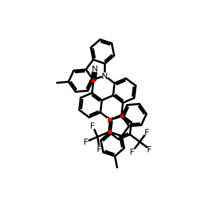 Cc1ccc2c(c1)c1ccccc1n2-c1cccc(C#N)c1-c1c(-c2cc(C(F)(F)F)cc(C(F)(F)F)c2)cccc1-n1c2ccccc2c2cc(C)ccc21